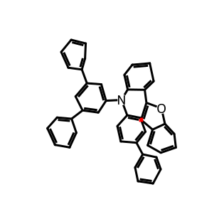 c1ccc(-c2ccc(N(c3cc(-c4ccccc4)cc(-c4ccccc4)c3)c3ccccc3-c3cc4ccccc4o3)cc2)cc1